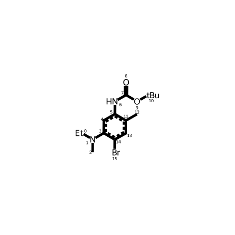 CCN(C)c1cc(NC(=O)OC(C)(C)C)c(C)cc1Br